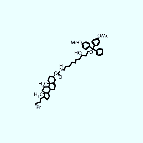 COc1ccc(C(OCCC(O)CCCCCCCNC(=O)O[C@@H]2CC[C@]3(C)C(=CCC4C5CCC(CCCC(C)C)[C@]5(C)CCC43)C2)(c2ccccc2)c2ccc(OC)cc2)cc1